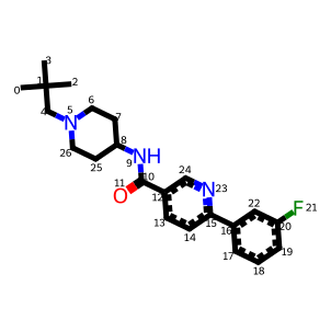 CC(C)(C)CN1CCC(NC(=O)c2ccc(-c3cccc(F)c3)nc2)CC1